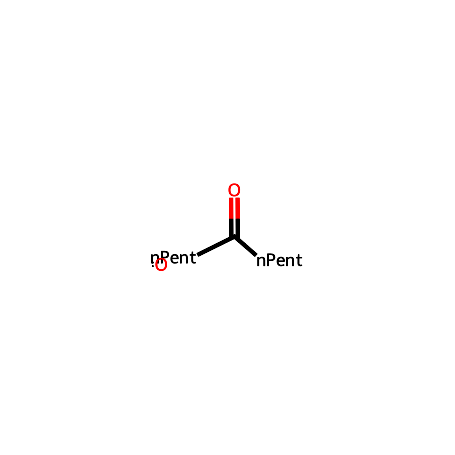 CCCCCC(=O)CCCCC.[O]